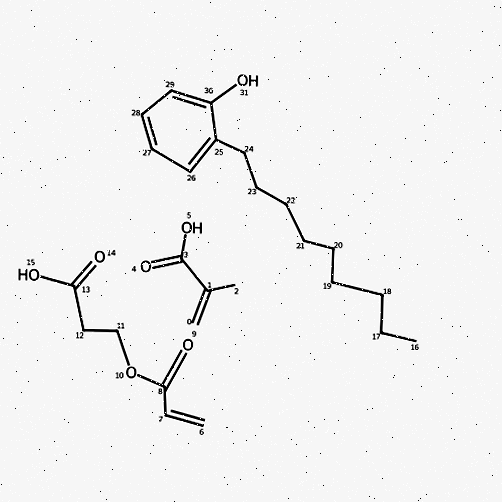 C=C(C)C(=O)O.C=CC(=O)OCCC(=O)O.CCCCCCCCCc1ccccc1O